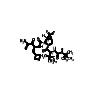 CC(C)(C)NC(=O)N[C@H](C(=O)N1CC2[C@@H]([C@H]1C(=O)NC(CC1CCC1)C(=O)C(N)=O)C2(F)F)C(C)(C)C